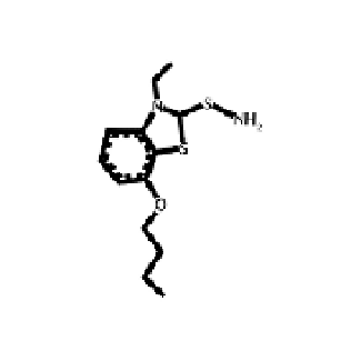 CCCCOc1cccc2c1SC(SN)N2CC